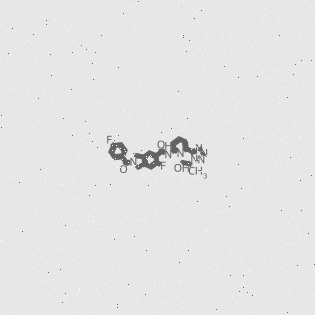 C[C@H](CO)n1nnnc1-c1cccc(NC(=O)c2cc3c(cc2F)CN(C(=O)c2ccc(F)cc2)C3)n1